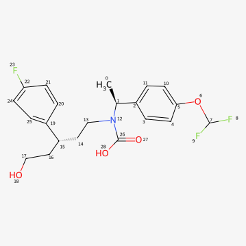 C[C@@H](c1ccc(OC(F)F)cc1)N(CC[C@H](CCO)c1ccc(F)cc1)C(=O)O